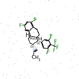 C/C=C/[C@@H]1CC[C@H]2c3cc(F)cc(F)c3CC[C@@H]2[C@H]1c1cc(F)c(C(F)(F)F)c(F)c1